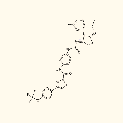 Cc1ccc(C(C)C)c(N2C(=O)CS/C2=N\C(=O)Nc2ccc(N(C)C(=O)c3ncn(-c4ccc(OC(F)(F)F)cc4)n3)cc2)c1